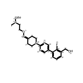 CSN(C)CCON=C1CCN(c2ncc(-c3cccc(CO)c3F)cn2)CC1